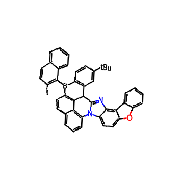 Cc1ccc2ccccc2c1B1c2ccc(C(C)(C)C)cc2C2c3c1ccc1cccc(c31)-n1c2nc2c3c(ccc21)oc1ccccc13